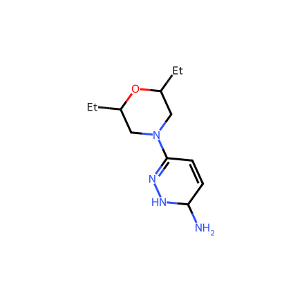 CCC1CN(C2=NN[C](N)C=C2)CC(CC)O1